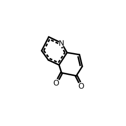 O=C1C=Cc2ncccc2C1=O